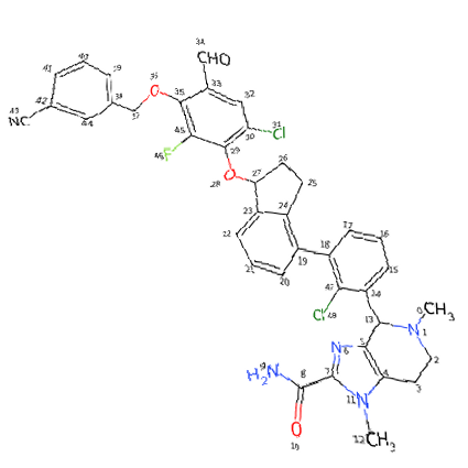 CN1CCc2c(nc(C(N)=O)n2C)C1c1cccc(-c2cccc3c2CCC3Oc2c(Cl)cc(C=O)c(OCc3cccc(C#N)c3)c2F)c1Cl